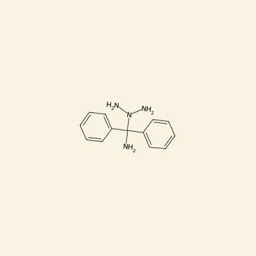 NN(N)C(N)(c1ccccc1)c1ccccc1